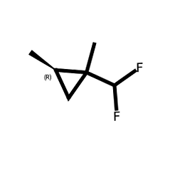 C[C@@H]1CC1(C)C(F)F